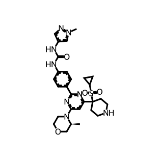 C[C@H]1COCCN1c1cc(C2(S(=O)(=O)C3CC3)CCNCC2)nc(-c2ccc(NC(=O)Nc3cnn(C)c3)cc2)n1